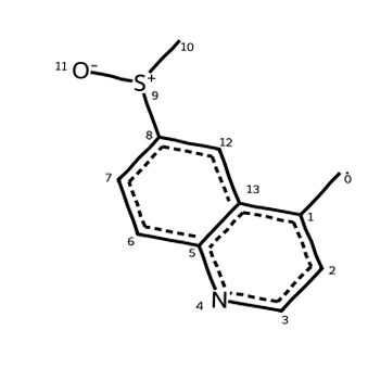 [CH2]c1ccnc2ccc([S+](C)[O-])cc12